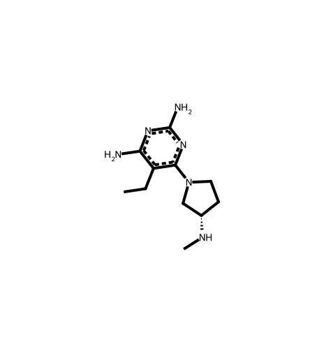 CCc1c(N)nc(N)nc1N1CC[C@H](NC)C1